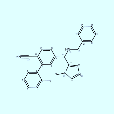 Cc1ccccc1-c1cc(C(NCc2ccccc2)c2cncn2C)ccc1C#N